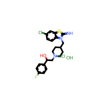 Cl.Cl.N=c1sc2cc(Cl)ccc2n1CC1CCN(CC(O)c2ccc(F)cc2)CC1